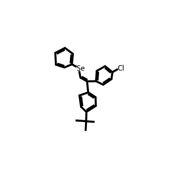 CC(C)(C)c1ccc(C(=C[Se]c2ccccc2)c2ccc(Cl)cc2)cc1